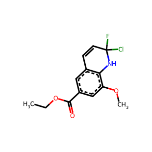 CCOC(=O)c1cc2c(c(OC)c1)NC(F)(Cl)C=C2